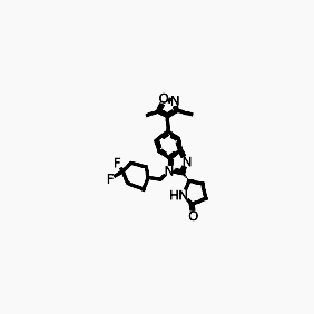 Cc1noc(C)c1-c1ccc2c(c1)nc([C@@H]1CCC(=O)N1)n2CC1CCC(F)(F)CC1